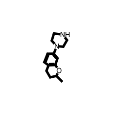 CC1CCc2ccc(N3CCNCC3)cc2O1